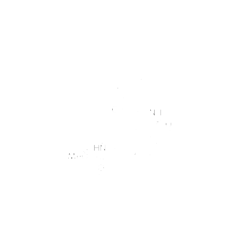 C=C(/C=C(\C=C/C)c1cc(-c2ccccc2Cl)[nH]c(=O)c1)NC(=O)OC